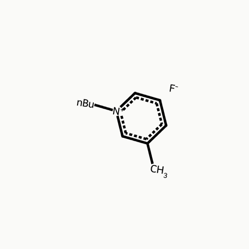 CCCC[n+]1cccc(C)c1.[F-]